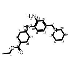 CCOC(=O)C1CCC(Nc2ccc(CN3CCCCC3)cc2N)CC1